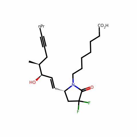 CCCC#CC[C@H](C)[C@H](O)C=C[C@H]1CC(F)(F)C(=O)N1CCCCCCC(=O)O